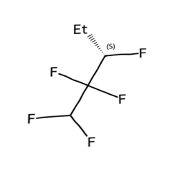 [CH2]C[C@H](F)C(F)(F)C(F)F